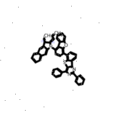 C=C/C=c1\c(=C/C)c2cc3ccccc3cc2n1-c1ccc(-c2cccc3c2sc2c(-c4ccccc4)nc(-c4ccccc4)nc23)c2oc3ccccc3c12